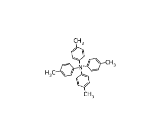 Cc1ccc([N+](c2ccc(C)cc2)(c2ccc(C)cc2)c2ccc(C)cc2)cc1